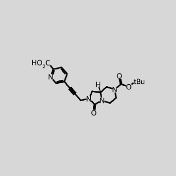 CC(C)(C)OC(=O)N1CCN2C(=O)N(CC#Cc3ccc(C(=O)O)nc3)C[C@@H]2C1